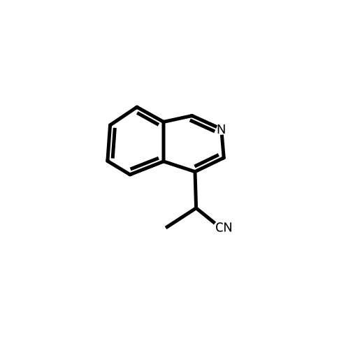 CC(C#N)c1cncc2ccccc12